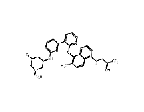 Cc1ccc2c(NCC(O)C(F)(F)F)cccc2c1Oc1ncccc1-c1ccnc(NC2CC(F)CN(C(=O)O)C2)n1